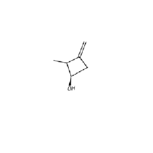 C=C1C[C@@H](O)C1C